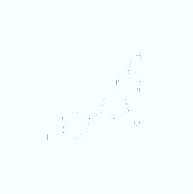 Cc1ccc2c(c1)OC(c1ccc(F)cc1)CC2=O